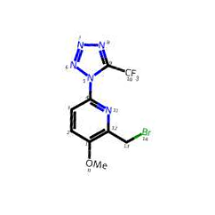 COc1ccc(-n2nnnc2C(F)(F)F)nc1CBr